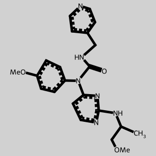 COCC(C)Nc1nccc(N(C(=O)NCc2ccncc2)c2ccc(OC)cc2)n1